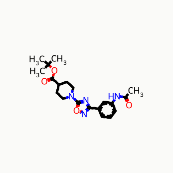 CC(=O)Nc1cccc(-c2noc(N3CCC(C(=O)OC(C)(C)C)CC3)n2)c1